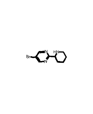 Brc1cnc(C2CCCCN2)nc1